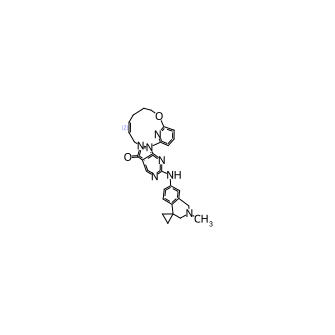 CN1Cc2cc(Nc3ncc4c(=O)n5n(c4n3)-c3cccc(n3)OCCC/C=C\C5)ccc2C2(CC2)C1